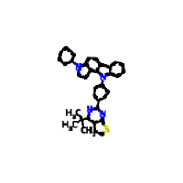 CC(C)(C)c1nc(-c2ccc(-n3c4ccccc4c4ccc5c(ccn5-c5ccccc5)c43)cc2)nc2sccc12